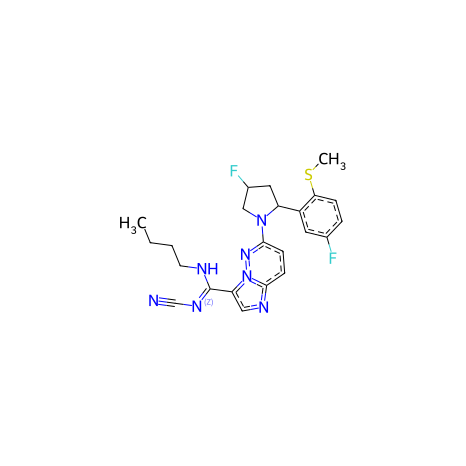 CCCCN/C(=N\C#N)c1cnc2ccc(N3CC(F)CC3c3cc(F)ccc3SC)nn12